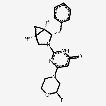 O=c1cc(N2CCO[C@H](F)C2)nc(N2C[C@H]3C[C@H]3[C@@H]2Cc2ccccc2)[nH]1